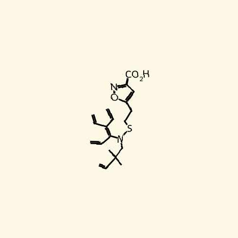 C=CC(C=C)=C(C=C)N(CC(C)(C)C=C)SCCc1cc(C(=O)O)no1